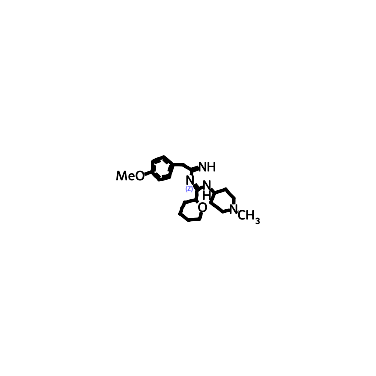 COc1ccc(CC(=N)/N=C(\NC2CCN(C)CC2)C2CCCCO2)cc1